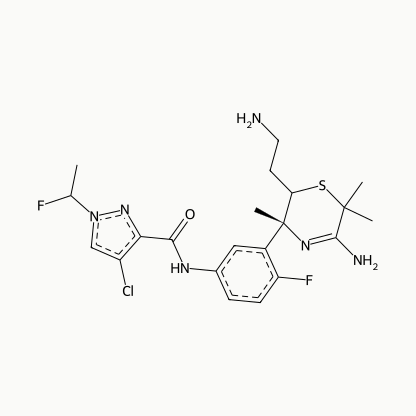 CC(F)n1cc(Cl)c(C(=O)Nc2ccc(F)c([C@@]3(C)N=C(N)C(C)(C)SC3CCN)c2)n1